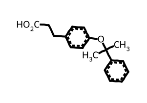 CC(C)(Oc1ccc(CCC(=O)O)cc1)c1ccccc1